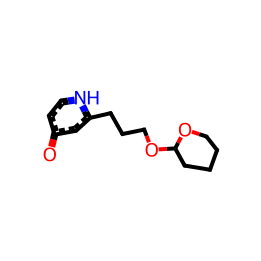 O=c1cc[nH]c(CCCOC2CCCCO2)c1